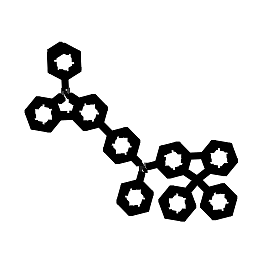 c1ccc(-n2c3ccccc3c3cc(-c4ccc(N(c5ccccc5)c5ccc6c(c5)C(c5ccccc5)(c5ccccc5)c5ccccc5-6)cc4)ccc32)cc#1